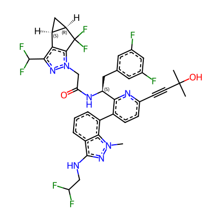 Cn1nc(NCC(F)F)c2cccc(-c3ccc(C#CC(C)(C)O)nc3[C@H](Cc3cc(F)cc(F)c3)NC(=O)Cn3nc(C(F)F)c4c3C(F)(F)[C@@H]3C[C@H]43)c21